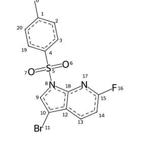 Cc1ccc(S(=O)(=O)n2cc(Br)c3ccc(F)nc32)cc1